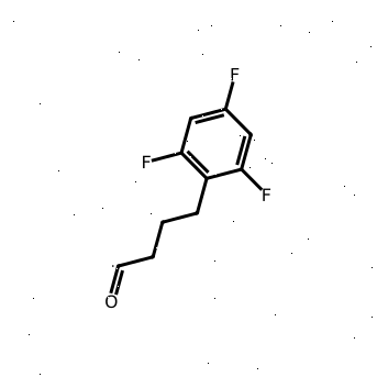 O=[C]CCCc1c(F)cc(F)cc1F